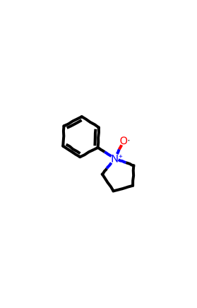 [O][N+]1(c2ccccc2)CCCC1